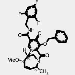 CO[C@H]1C=C[C@H](C)N2C[C@H]1n1cc(C(=O)NCc3c(F)cc(F)cc3F)c(=O)c(OCc3ccccc3)c1C2=O